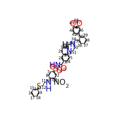 O=C(NS(=O)(=O)c1ccc(NCCSc2ccccc2)c([N+](=O)[O-])c1)c1ccc2c(c1)CC[C@H]1CN(Cc3ccccc3-c3ccc4c(c3)OCO4)CCN21